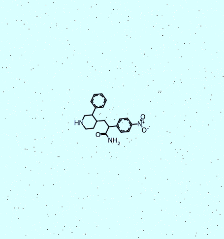 NC(=O)C(CC1CCNCC1c1ccccc1)c1ccc([N+](=O)[O-])cc1